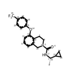 C[C@H](NC(=O)N1CCc2c(cccc2Oc2ccc(C(F)(F)F)cc2)C1)C1CC1